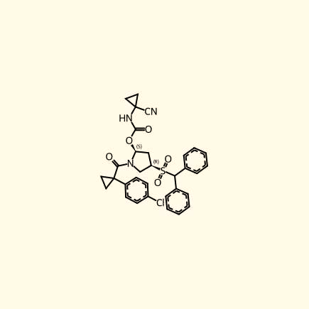 N#CC1(NC(=O)O[C@H]2C[C@@H](S(=O)(=O)C(c3ccccc3)c3ccccc3)CN2C(=O)C2(c3ccc(Cl)cc3)CC2)CC1